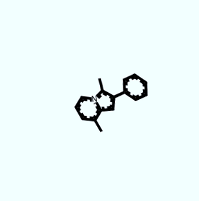 Cc1cccn2c(C)c(-c3ccccc3)cc12